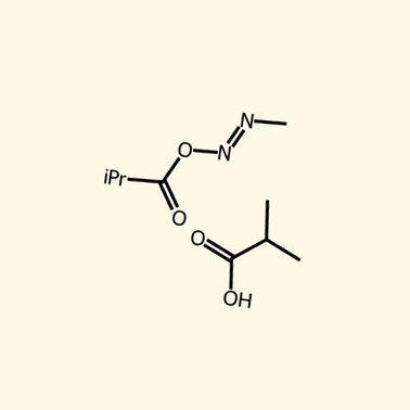 CC(C)C(=O)O.CN=NOC(=O)C(C)C